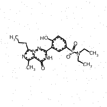 CCCc1nc(C)c2c(=O)[nH]c(-c3cc(S(=O)(=O)N(CC)CC)ccc3O)nn12